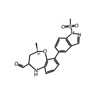 C[C@@H]1CC(C=O)Nc2cccc(-c3ccc4c(cnn4S(C)(=O)=O)c3)c2O1